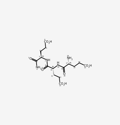 NC(=O)[C@@H](CCC(=O)O)NC(=O)[C@@H](CCC(=O)O)NC(=O)[C@H](N)CCC(=O)O